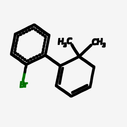 CC1(C)CC=CC=C1c1ccccc1Br